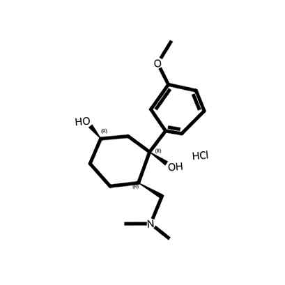 COc1cccc([C@@]2(O)C[C@H](O)CC[C@@H]2CN(C)C)c1.Cl